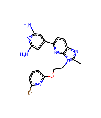 Cc1nc2ccc(-c3cc(N)nc(N)c3)nc2n1CCOc1cccc(Br)n1